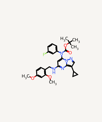 COc1ccc(CNc2cc(N(C(=O)OC(C)(C)C)c3cccc(F)c3)n3ncc(C4CC4)c3n2)c(OC)c1